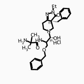 CCN1N=C2CCN([C@H](O)C(COCc3ccccc3)NC(=O)C(C)(C)N)C[C@]2(Cc2ccccc2)C1=O.Cl